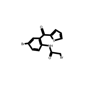 O=C(CBr)Nc1ccc(Br)cc1C(=O)c1cccs1